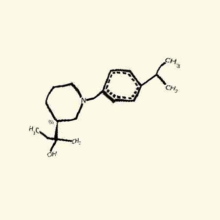 CC(C)c1ccc(N2CCC[C@H](C(C)(C)O)C2)cc1